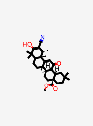 COC(=O)[C@]12CCC(C)(C)C[C@H]1[C@H]1C(=O)C=C3[C@]4(C)C(CC[C@@]3(C)[C@]1(C)CC2)C(C)(C)C(O)=C(C#N)[C@@H]4C